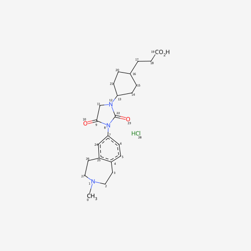 CN1CCc2ccc(N3C(=O)CN(C4CCC(CCC(=O)O)CC4)C3=O)cc2CC1.Cl